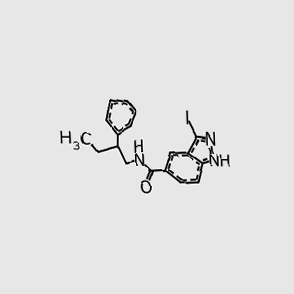 CCC(CNC(=O)c1ccc2[nH]nc(I)c2c1)c1ccccc1